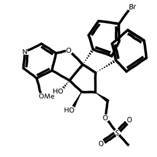 COc1cncc2c1[C@]1(O)[C@H](O)[C@H](COS(C)(=O)=O)[C@@H](c3ccccc3)[C@]1(c1ccc(Br)cc1)O2